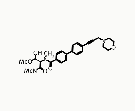 CNC(=O)[C@@H](C(O)OC)N(C)C(=O)c1ccc(-c2ccc(C#CCN3CCOCC3)cc2)cc1